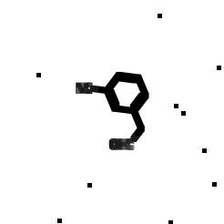 N#Cc1cccc(CC=O)c1